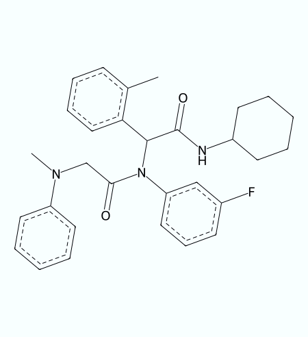 Cc1ccccc1C(C(=O)NC1CCCCC1)N(C(=O)CN(C)c1ccccc1)c1cccc(F)c1